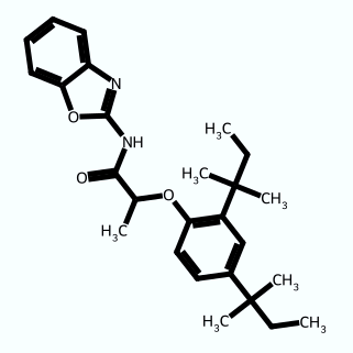 CCC(C)(C)c1ccc(OC(C)C(=O)Nc2nc3ccccc3o2)c(C(C)(C)CC)c1